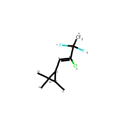 CC1C(C=C(Cl)C(F)(F)C(F)(F)F)C1(C)C